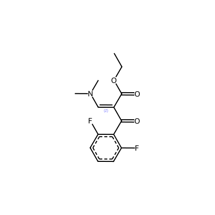 CCOC(=O)/C(=C\N(C)C)C(=O)c1c(F)cccc1F